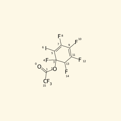 O=C(OC1(F)C(I)=C(F)C(F)=C(F)C1F)C(F)(F)F